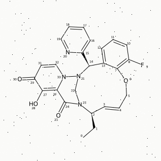 CC[C@@H]1/C=C/COc2c(F)cccc2[C@H](c2ccccn2)N2CN1C(=O)c1c(O)c(=O)ccn12